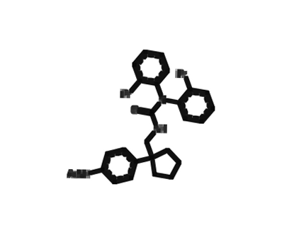 CC(=O)Nc1ccc(C2(CNC(=O)N(c3ccccc3C(C)C)c3ccccc3C(C)C)CCCC2)cc1